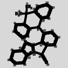 CC1(C)c2ccccc2N(c2cccc3c2-c2nc4ccccc4n2C3=O)c2ccccc21